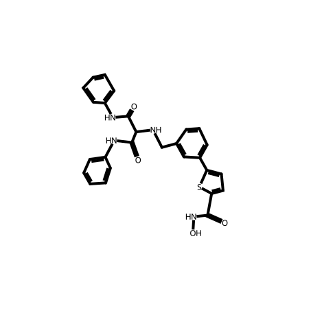 O=C(NO)c1ccc(-c2cccc(CNC(C(=O)Nc3ccccc3)C(=O)Nc3ccccc3)c2)s1